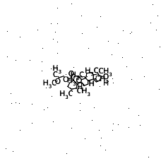 COC(C)COC(=O)[C@]12CC[C@@H](C)[C@H](C)[C@H]1C1=CC[C@@H]3[C@@]4(C)CC[C@H](O)C(C)(C)C4CC[C@@]3(C)[C@]1(C)CC2